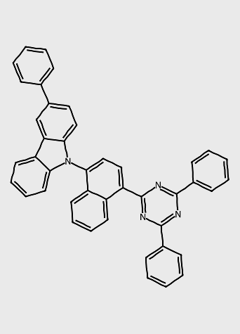 c1ccc(-c2ccc3c(c2)c2ccccc2n3-c2ccc(-c3nc(-c4ccccc4)nc(-c4ccccc4)n3)c3ccccc23)cc1